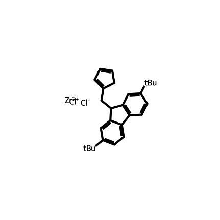 CC(C)(C)c1ccc2c(c1)C(CC1=CC=CC1)c1cc(C(C)(C)C)ccc1-2.[Cl-].[Cl-].[Zr+2]